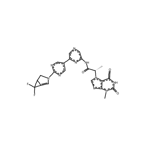 C[C@@H](C(=O)Nc1cncc(-c2cnc(N3C=C4C(C3)C4(F)F)nc2)n1)n1cnc2c1c(=O)[nH]c(=O)n2C